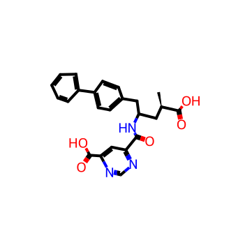 C[C@H](CC(Cc1ccc(-c2ccccc2)cc1)NC(=O)c1cc(C(=O)O)ncn1)C(=O)O